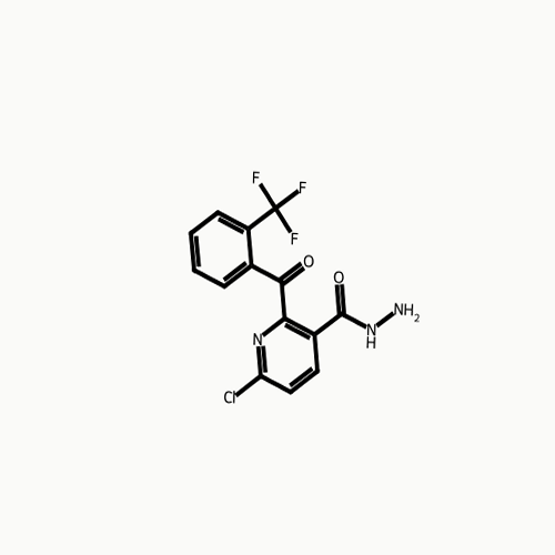 NNC(=O)c1ccc(Cl)nc1C(=O)c1ccccc1C(F)(F)F